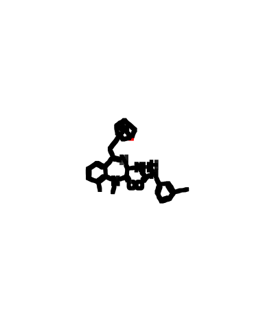 Cc1cccc(NC(=O)NC2N=C(CN3CC4CCC(CC4)C3)c3cccc(C)c3N(C)C2=O)c1